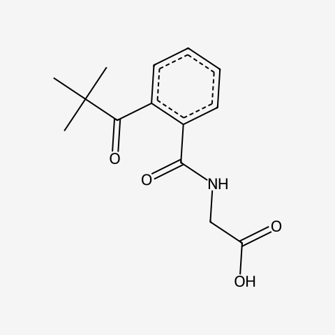 CC(C)(C)C(=O)c1ccccc1C(=O)NCC(=O)O